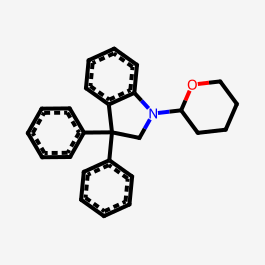 c1ccc(C2(c3ccccc3)CN(C3CCCCO3)c3ccccc32)cc1